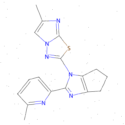 Cc1cccc(-c2nc3c(n2-c2nn4cc(C)nc4s2)CCC3)n1